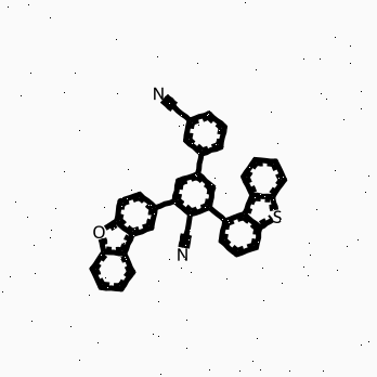 N#Cc1cccc(-c2cc(-c3ccc4oc5ccccc5c4c3)c(C#N)c(-c3cccc4sc5ccccc5c34)c2)c1